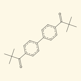 CC(C)(C)C(=O)c1ccc(-c2ccc(C(=O)C(C)(C)C)cc2)cc1